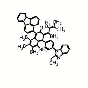 B/C(C)=C(B)/C(B)=C1\C(=O)C(c2ccc3c4c(cccc24)-c2ccccc2-3)=c2c(B)c(B)c(B)c(B)c2=C1c1ccc(-n2c(CC)nc3ccccc32)cc1